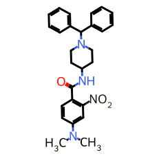 CN(C)c1ccc(C(=O)NC2CCN(C(c3ccccc3)c3ccccc3)CC2)c([N+](=O)[O-])c1